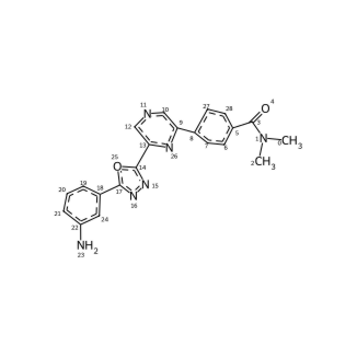 CN(C)C(=O)c1ccc(-c2cncc(-c3nnc(-c4cccc(N)c4)o3)n2)cc1